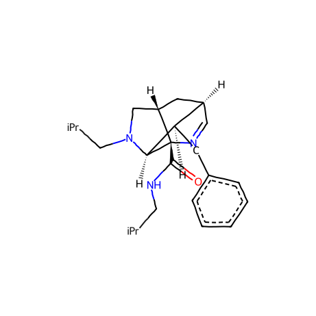 CC(C)CNC(=O)[C@]12N=C[C@@H]3C[C@H]1CN(CC(C)C)[C@H]2[C@@H]3Cc1ccccc1